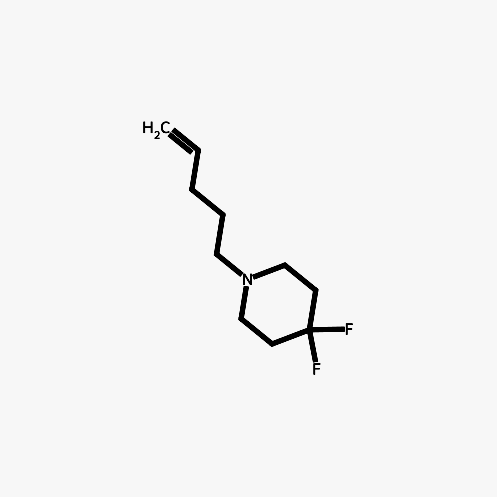 C=CCCCN1CCC(F)(F)CC1